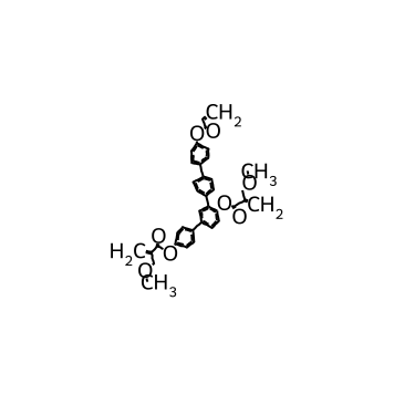 C=CC(=O)Oc1ccc(-c2ccc(-c3cc(-c4ccc(OC(=O)C(=C)COC)cc4)ccc3OC(=O)C(=C)COC)cc2)cc1